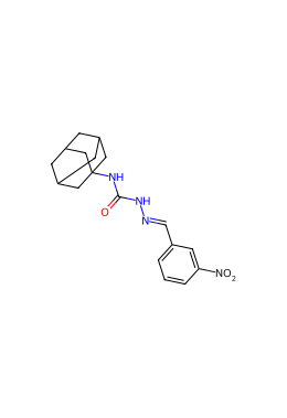 O=C(NN=Cc1cccc([N+](=O)[O-])c1)NC12CC3CC(CC(C3)C1)C2